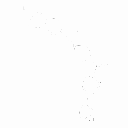 O=C(c1ccc(-c2c[nH]cn2)cc1)N1CCN(S(=O)(=O)c2ccc3cc(Cl)ccc3c2)CC1